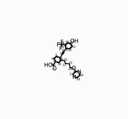 O=C(O)c1ccc(C#Cc2ccc(O)cc2C(F)(F)F)c(CCCCOc2cnccn2)c1